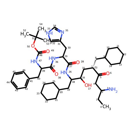 CCC(N)CC(=O)[C@@H](CC1CCCCC1)CC(O)C(CC1CCCCC1)NC(=O)C(Cc1c[nH]cn1)NC(=O)C(Cc1ccccc1)NC(=O)OC(C)(C)C